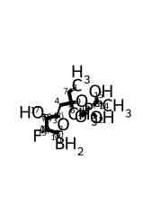 B[C@@H]1O[C@H](CC(C)(CC)OP(=O)(O)[C@@H](C)O)[C@@H](O)[C@H]1F